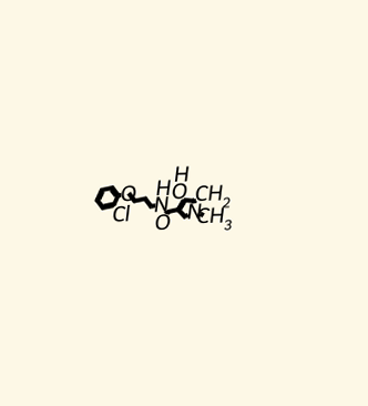 C=C1C(O)=C(C(=O)NCCCOc2ccccc2Cl)CN1C